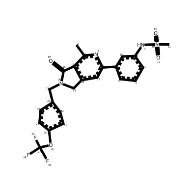 Cc1nc(-c2cccc(NS(C)(=O)=O)c2)cc2c1C(=O)N(Cc1ccc(OC(F)(F)F)cc1)C2